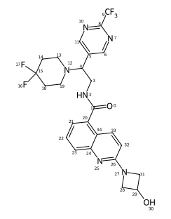 O=C(NCC(c1cnc(C(F)(F)F)nc1)N1CCC(F)(F)CC1)c1cccc2nc(N3CC(O)C3)ccc12